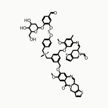 COc1cc2c(cc1OCc1cc(COc3cc(/N=C\C4Cc5sccc5CN4C=O)c(C)cc3OC)cc(C[N+](C)(C)Cc3ccc(OSOc4cc(C=O)ccc4OC4CC(O)C(O)C(CO)O4)cc3)c1)N=CC1Cc3sccc3CN1C2=O